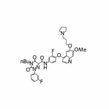 CCCCn1c(=O)c(C(=O)Nc2ccc(Oc3ccnc4cc(OC)c(OCCCN5CCCC5)cc34)c(F)c2)nn(-c2cccc(F)c2)c1=O